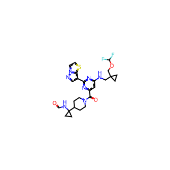 O=CNC1(C2CCN(C(=O)c3cc(NCC4(COC(F)F)CC4)nc(-c4cnn5ccsc45)n3)CC2)CC1